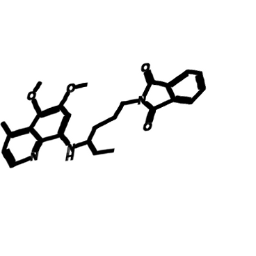 CCC(CCCN1C(=O)c2ccccc2C1=O)Nc1cc(OC)c(OC)c2c(C)ccnc12